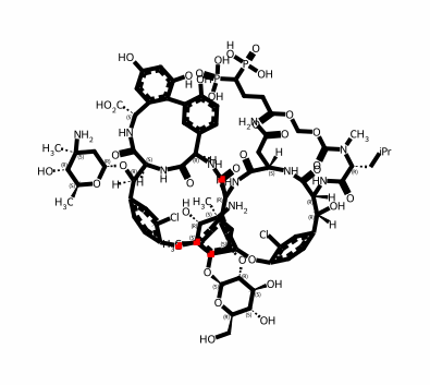 CC(C)C[C@H](C(=O)N[C@H]1C(=O)N[C@@H](CC(N)=O)C(=O)N[C@H]2C(=O)N[C@H]3C(=O)N[C@H](C(=O)N[C@H](C(=O)O)c4cc(O)cc(O)c4-c4cc3ccc4O)[C@H](O[C@H]3C[C@](C)(N)[C@@H](O)[C@H](C)O3)c3ccc(c(Cl)c3)Oc3cc2cc(c3O[C@@H]2O[C@H](CO)[C@@H](O)[C@H](O)[C@H]2O[C@H]2C[C@](C)(N)[C@@H](O)[C@H](C)O2)Oc2ccc(cc2Cl)[C@H]1O)N(C)C(=O)OCOC(=O)CCC(P(=O)(O)O)P(=O)(O)O